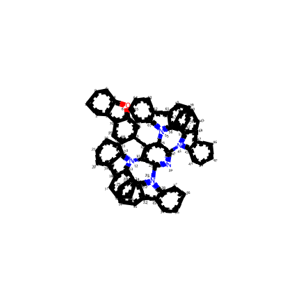 c1ccc2c(c1)oc1cc(-c3c(-n4c5ccccc5c5ccccc54)c(-n4c5ccccc5c5ccccc54)nc(-n4c5ccccc5c5ccccc54)c3-n3c4ccccc4c4ccccc43)ccc12